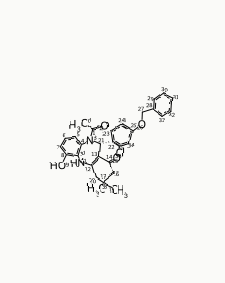 CC(=O)N1c2cccc(O)c2NC2=C(C(=O)CC(C)(C)C2)[C@H]1c1ccc(OCc2ccccc2)cc1Cl